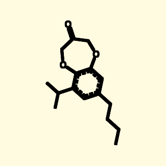 CCCCc1cc2c(c(C(C)C)c1)OCC(=O)CO2